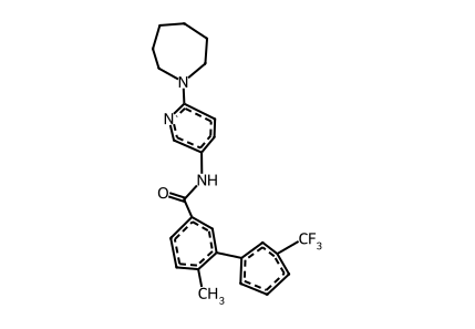 Cc1ccc(C(=O)Nc2ccc(N3CCCCCC3)nc2)cc1-c1cccc(C(F)(F)F)c1